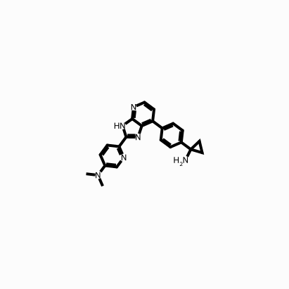 CN(C)c1ccc(-c2nc3c(-c4ccc(C5(N)CC5)cc4)ccnc3[nH]2)nc1